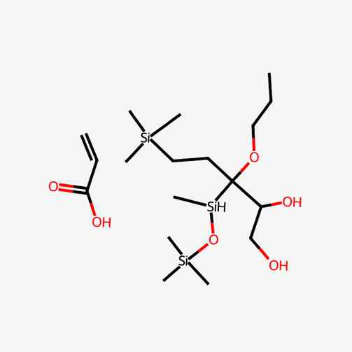 C=CC(=O)O.CCCOC(CC[Si](C)(C)C)(C(O)CO)[SiH](C)O[Si](C)(C)C